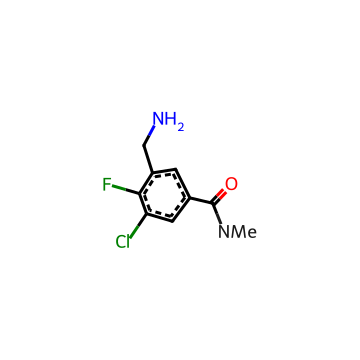 CNC(=O)c1cc(Cl)c(F)c(CN)c1